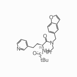 CC(C)CN(Cc1ccc2occc2c1)C(=O)[C@H](CCc1cccnc1)N[S+]([O-])C(C)(C)C